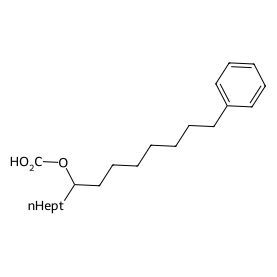 CCCCCCCC(CCCCCCCc1ccccc1)OC(=O)O